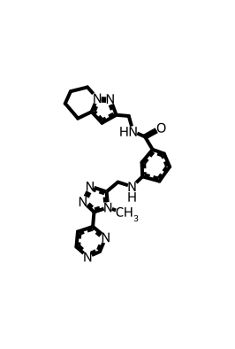 Cn1c(CNc2cccc(C(=O)NCc3cc4n(n3)CCCC4)c2)nnc1-c1ccncn1